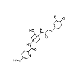 CC(C)Oc1ccc(C(=O)NC23CCC(NC(=O)COc4ccc(Cl)c(F)c4)(CC2)C(O)C3)nc1